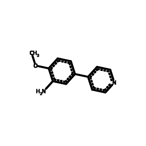 COc1ccc(-c2ccncc2)cc1N